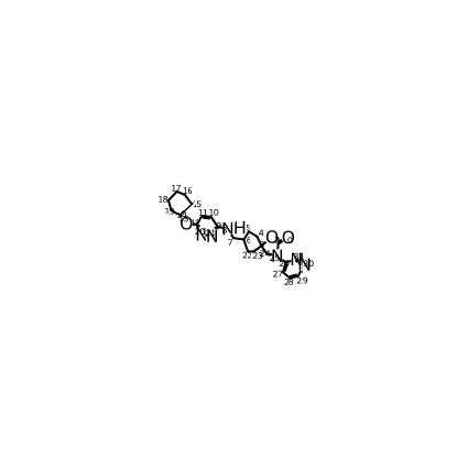 O=C1OC2(CCC(CNc3ccc(OC4CCCCC4)nn3)CC2)CN1c1cccnn1